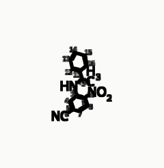 C[C@@H](Nc1cc(C#N)ccc1[N+](=O)[O-])c1ccccc1